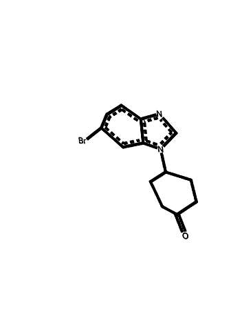 O=C1CCC(n2cnc3ccc(Br)cc32)CC1